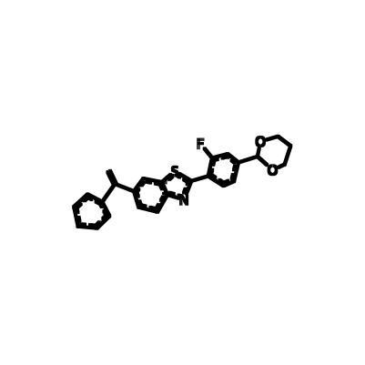 C=C(c1ccccc1)c1ccc2nc(-c3ccc(C4OCCCO4)cc3F)sc2c1